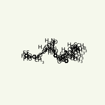 C=C(C)[C@@H](C(=O)N[C@H](C(=O)N(C)[C@@H]([C@@H](C)CC)[C@@H](CC(=O)N1CCC[C@H]1[C@H](OC)[C@@H](C)C(=O)N[C@@H](Cc1ccccc1)C(=O)NCc1ccc(NC(=O)[C@H](CCCNC(N)=O)NC(=O)[C@@H](NC(=O)COCCOCC(=O)N2CCC(C(=O)Oc3c(F)c(F)c(F)c(F)c3F)CC2C)C(C)C)cc1)OC)C(C)C)N(C)C